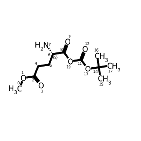 COC(=O)CC[C@H](N)C(=O)OC(=O)OC(C)(C)C